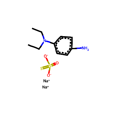 CCN(CC)c1ccc(N)cc1.O=S([O-])([O-])=S.[Na+].[Na+]